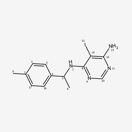 Cc1c[c]c(C(C)Nc2ncnc(N)c2I)cc1